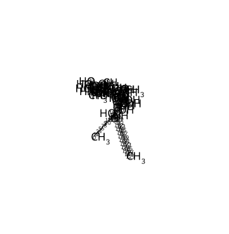 CCCCCCCCCCCCC/C=C/[C@@H](O)[C@H](CO[C@@H]1OC(CO)[C@@H](O[C@@H]2OC(CO)[C@H](O)[C@H](O[C@@H]3OC(CO)[C@@H](O[C@@H]4OC(CO)[C@H](O)[C@H](O[C@@H]5OC(CO)[C@@H](O[C@@H]6OC(CO)[C@H](O)[C@H](O[C@@H]7OC(CO)[C@@H](O)[C@H](O)C7NC(C)=O)C6O)[C@H](O)C5NC(C)=O)C4O)[C@H](O)C3NC(C)=O)C2O)[C@H](O)C1O)NC(=O)CCCCCCCCCCCCCCCCCCCCC